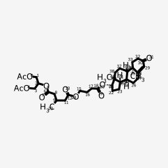 CC(=O)OCC(COC(C)=O)OC(=O)CC(C)CC(=O)OCCCC(=O)O[C@H]1CC[C@H]2[C@@H]3CCC4=CC(=O)CC[C@]4(C)[C@H]3CC[C@]12C